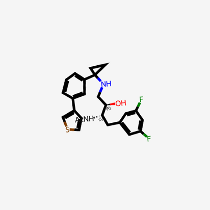 CC(=O)N[C@@H](Cc1cc(F)cc(F)c1)[C@H](O)CNC1(c2cccc(-c3ccsc3)c2)CC1